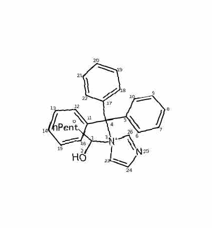 CCCCCC(O)[N+]1(C(c2ccccc2)(c2ccccc2)c2ccccc2)C=CN=C1